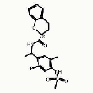 Cc1cc(C(C)NC(=O)[C@H]2CCc3ccccc3O2)c(F)cc1NS(C)(=O)=O